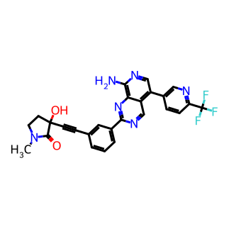 CN1CCC(O)(C#Cc2cccc(-c3ncc4c(-c5ccc(C(F)(F)F)nc5)cnc(N)c4n3)c2)C1=O